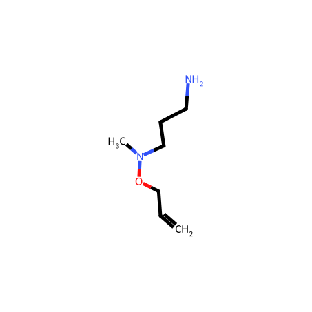 C=CCON(C)CCCN